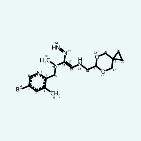 Cc1cc(Br)cnc1CN(C)/C(=C/NCC1OCC2(CC2)CO1)N=N